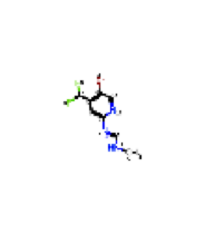 CN/C=N/c1cc(C(F)F)c(Br)cn1